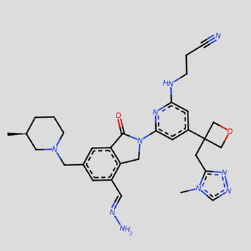 C[C@H]1CCCN(Cc2cc(C=NN)c3c(c2)C(=O)N(c2cc(C4(Cc5nncn5C)COC4)cc(NCCC#N)n2)C3)C1